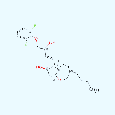 O=C(O)CCC[C@H]1CC[C@@H]2[C@@H](C=C[C@@H](O)COc3c(F)cccc3F)[C@H](O)C[C@@H]2OC1